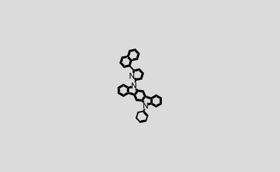 C1=CCCC(n2c3ccccc3c3cc4c(cc32)c2ccccc2n4-c2cccc(-c3cccc4ccccc34)n2)=C1